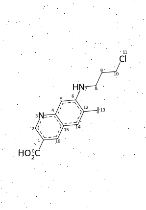 O=C(O)c1cnc2cc(NCCCCl)c(I)cc2c1